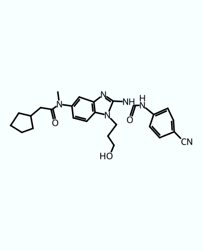 CN(C(=O)CC1CCCC1)c1ccc2c(c1)nc(NC(=O)Nc1ccc(C#N)cc1)n2CCCO